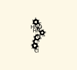 O=C(Nc1ccccc1F)NC1CCCC1N1CCC(Cc2ccc(Cl)cc2)CC1